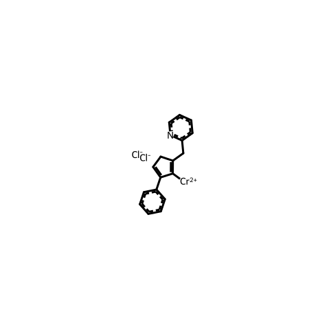 [Cl-].[Cl-].[Cr+2][C]1=C(Cc2ccccn2)CC=C1c1ccccc1